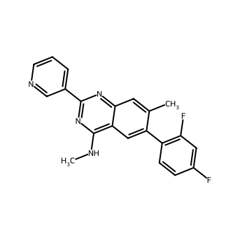 CNc1nc(-c2cccnc2)nc2cc(C)c(-c3ccc(F)cc3F)cc12